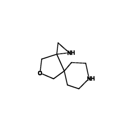 C1CC2(CCN1)COCC21CN1